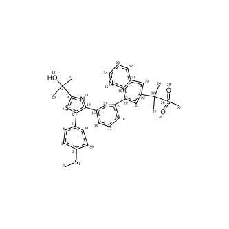 CSc1ccc(-c2sc(C(C)(C)O)nc2-c2cccc(-c3cc(C(C)(C)S(C)(=O)=O)cc4cccnc34)c2)cc1